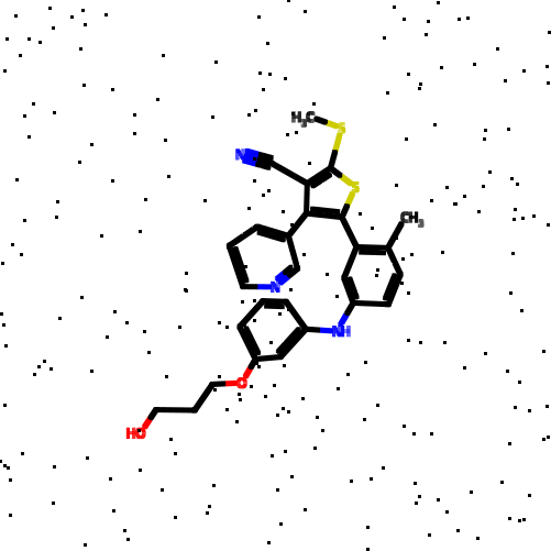 CSc1sc(-c2cc(Nc3cccc(OCCCO)c3)ccc2C)c(-c2cccnc2)c1C#N